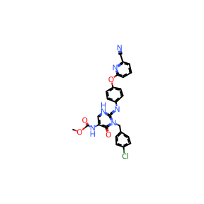 COC(=O)Nc1c[nH]/c(=N\c2ccc(Oc3cccc(C#N)n3)cc2)n(Cc2ccc(Cl)cc2)c1=O